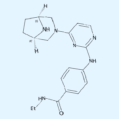 CCNC(=O)c1ccc(Nc2nccc(N3C[C@H]4CC[C@@H](C3)N4)n2)cc1